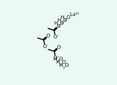 CC(=O)[O-].CC(=O)[O-].CC(=O)[O-].O.O.O.O.O.O.[La+3]